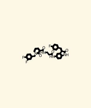 O=C(CCNC(=O)c1cccn(Cc2ccc(F)c(F)c2)c1=O)Nc1ccc2c(c1)/C(=C\c1ccc(F)cc1)C(=O)N2